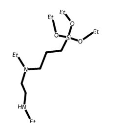 CCNCCN(CC)CCC[Si](OCC)(OCC)OCC